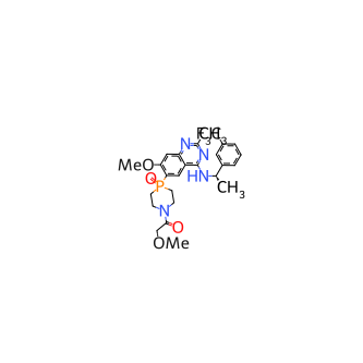 COCC(=O)N1CCP(=O)(c2cc3c(N[C@H](C)c4cccc(C(F)(F)F)c4)nc(C)nc3cc2OC)CC1